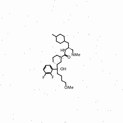 CNC[C@H](CC1CCC(C)CC1)NC(=O)N1CCC[C@@H]([C@@](O)(CCCCOC)c2cccc(F)c2F)C1